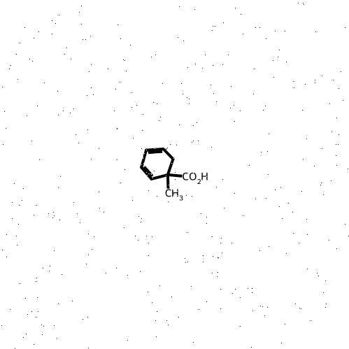 CC1(C(=O)O)C=CC=[C]C1